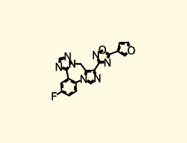 Fc1ccc2c(c1)-c1ncnn1Cc1c(-c3noc(-c4ccoc4)n3)ncn1-2